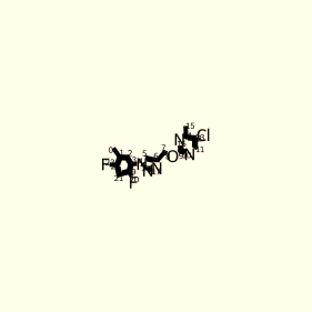 Cc1cc(-n2cc(COc3ncc(Cl)c(C)n3)nn2)c(F)cc1F